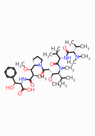 CO[C@H]([C@@H](C)C(=O)N[C@H](C(=O)O)[C@@H](O)c1ccccc1)[C@@H]1CCCN1C(=O)C[C@@H](OC)[C@H](C(C)C)N(C)C(=O)[C@@H](NC(=O)[C@H](C(C)C)N(C)C)C(C)C